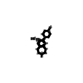 Cl.Cl.[O-][S+]1CCN(c2ccc3c(n2)CCNCC3)CC1